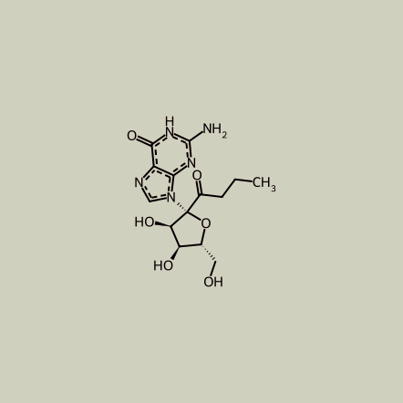 CCCC(=O)[C@@]1(n2cnc3c(=O)[nH]c(N)nc32)O[C@H](CO)[C@@H](O)[C@H]1O